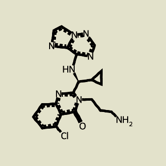 NCCCn1c([C@@H](Nc2ncnn3ccnc23)C2CC2)nc2cccc(Cl)c2c1=O